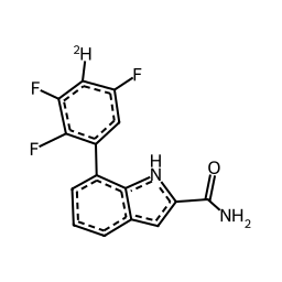 [2H]c1c(F)cc(-c2cccc3cc(C(N)=O)[nH]c23)c(F)c1F